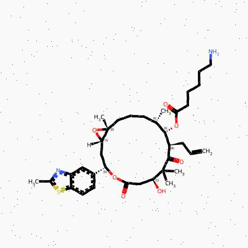 C=CC[C@H]1C(=O)C(C)(C)[C@@H](O)CC(=O)O[C@H](c2ccc3sc(C)nc3c2)C[C@@H]2O[C@]2(C)CCC[C@H](C)[C@@H]1OC(=O)CCCCCN